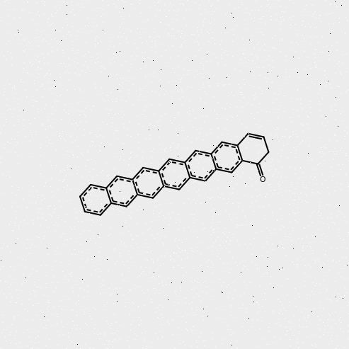 O=C1CC=Cc2cc3cc4cc5cc6cc7ccccc7cc6cc5cc4cc3cc21